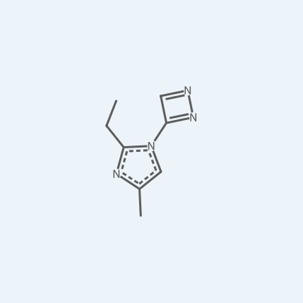 CCc1nc(C)cn1C1=NN=C1